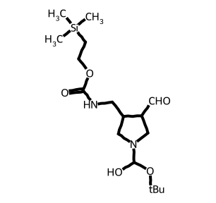 CC(C)(C)OC(O)N1CC(C=O)C(CNC(=O)OCC[Si](C)(C)C)C1